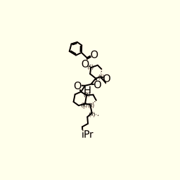 CC(C)CCC[C@@H](C)[C@H]1CC[C@H]2C3(CCC[C@]12C)OC3C1OC12C[C@@H](OC(=O)c1ccccc1)CC[C@]21CO1